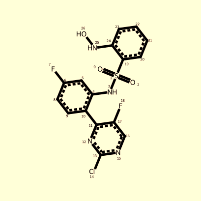 O=S(=O)(Nc1cc(F)ccc1-c1nc(Cl)ncc1F)c1ccccc1NO